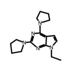 CCn1ccc2c(N3CCCC3)nc(N3CCCC3)nc21